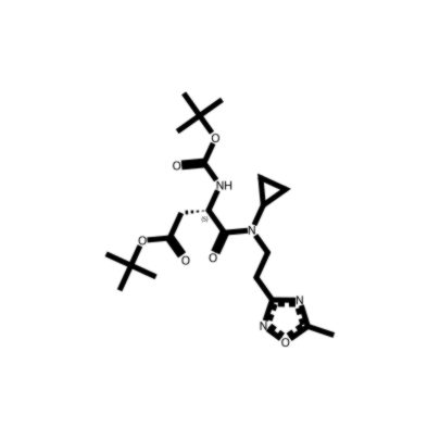 Cc1nc(CCN(C(=O)[C@H](CC(=O)OC(C)(C)C)NC(=O)OC(C)(C)C)C2CC2)no1